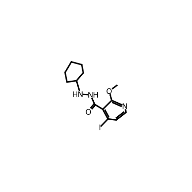 COc1nccc(I)c1C(=O)NNC1CCCCC1